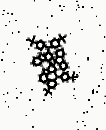 CC(C)(C)c1ccc(N(C2=CC3(C)C(c4oc5ccccc5c42)c2c(cc(N(c4ccc(C(C)(C)C)cc4)c4ccc(C(C)(C)C)cc4)c4oc5ccccc5c24)C32c3ccccc3-c3ccccc32)c2ccc(C(C)(C)C)cc2)cc1